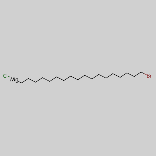 [Cl][Mg][CH2]CCCCCCCCCCCCCCCCCBr